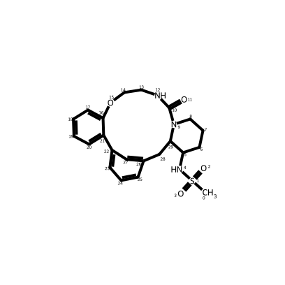 CS(=O)(=O)NC1CCCN2C(=O)NCCOc3ccccc3-c3cccc(c3)CC12